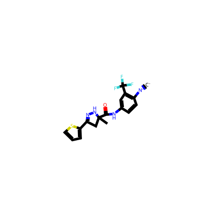 [C-]#[N+]c1ccc(NC(=O)C2(C)CC(c3cccs3)=NN2)cc1C(F)(F)F